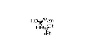 CCN(CC)NC(O)=S.[Zn]